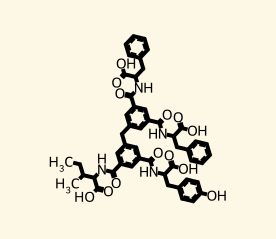 CCC(C)C(NC(=O)c1cc(Cc2cc(C(=O)NC(Cc3ccccc3)C(=O)O)cc(C(=O)NC(Cc3ccccc3)C(=O)O)c2)cc(C(=O)NC(Cc2ccc(O)cc2)C(=O)O)c1)C(=O)O